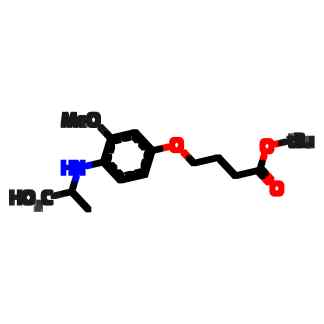 COc1cc(OCCCC(=O)OC(C)(C)C)ccc1NC(C)C(=O)O